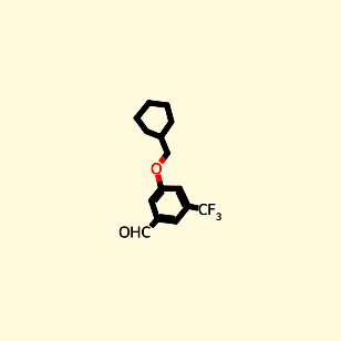 O=Cc1cc(OCC2CCCCC2)cc(C(F)(F)F)c1